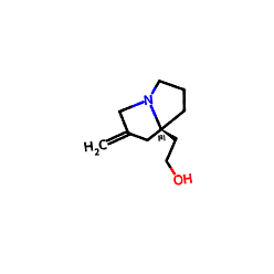 C=C1CN2CCC[C@]2(CCO)C1